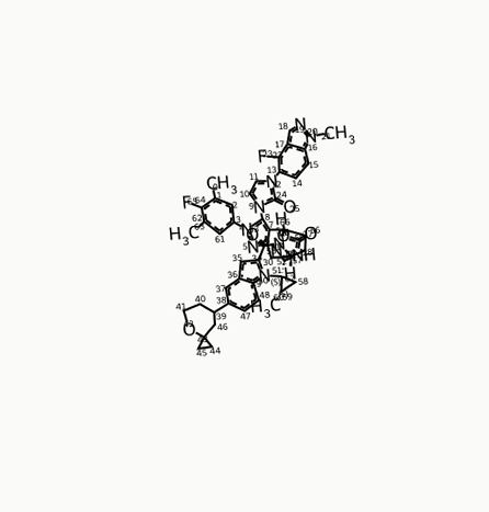 Cc1cc(-n2nc3c(c2-n2ccn(-c4ccc5c(cnn5C)c4F)c2=O)[C@@H]2CC[C@H](C3)N2C(=O)c2cc3cc(C4CCOC5(CC5)C4)ccc3n2[C@@]2(c3noc(=O)[nH]3)C[C@@H]2C)cc(C)c1F